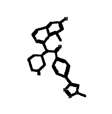 Cc1cc(Cl)cc2ccnc(N(C(=O)c3ccc(-c4cn(C)nn4)cc3)[C@@H]3CCCNC3)c12